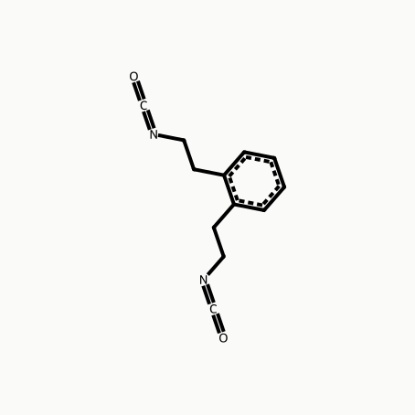 O=C=NCCc1ccccc1CCN=C=O